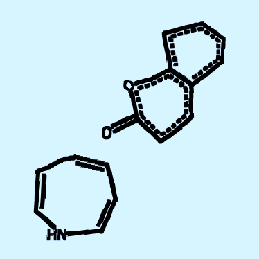 C1=CC=CNC=C1.O=c1ccc2ccccc2o1